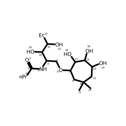 CCCC(=O)NC(COC1CC(C)(C)CC(O)C(O)C1O)C(O)C(O)CC